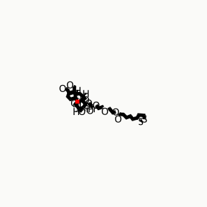 CC(C)[C@]12O[C@H]1[C@@H]1O[C@]13[C@]1(O[C@H]1C[C@H]1C4=C(CC[C@@]13C)C(=O)OC4)[C@@H]2OC(=O)OCCOCCOC(=O)CCCCC1CCSS1